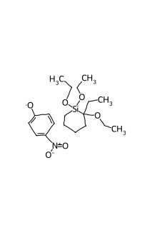 CCOC1(CC)CCCC[Si]1(OCC)OCC.[O]c1ccc([N+](=O)[O-])cc1